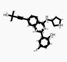 CC(C)(O)C#Cc1ccc2c(NC3CCNC3)nc(-c3cc(F)ccc3O)nc2c1